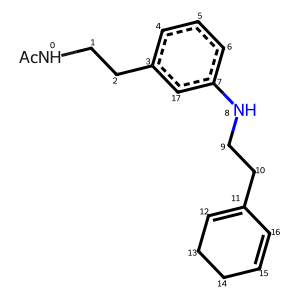 CC(=O)NCCc1cccc(NCCC2=CCCC=C2)c1